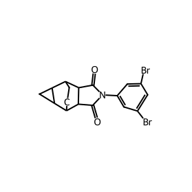 O=C1C2C3CCC(C4CC43)C2C(=O)N1c1cc(Br)cc(Br)c1